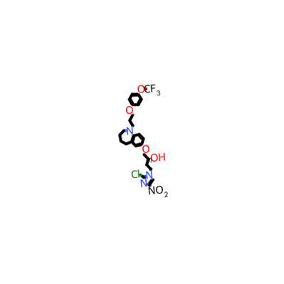 O=[N+]([O-])c1cn(CC[C@@H](O)COc2ccc3c(c2)CCCCN3CCCOc2ccc(OC(F)(F)F)cc2)c(Cl)n1